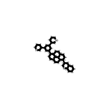 c1cncc(-c2cc(-c3cccnc3)cc(-c3ccc4ccc5c(-c6cnc7ccccc7c6)ccc6ccc3c4c65)c2)c1